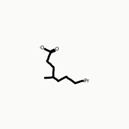 CC(C)CCCC(C)CCC([O])=O